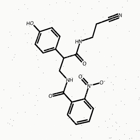 N#CCCNC(=O)C(CNC(=O)c1ccccc1[N+](=O)[O-])c1ccc(O)cc1